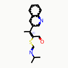 C/C(=C(/C=O)SC=NC(C)C)c1cnc2ccccc2c1